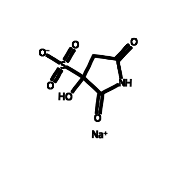 O=C1CC(O)(S(=O)(=O)[O-])C(=O)N1.[Na+]